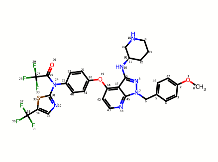 COc1ccc(Cn2nc(N[C@@H]3CCCNC3)c3c(Oc4ccc(N(C(=O)C(F)(F)F)c5ncc(C(F)(F)F)s5)cc4)ccnc32)cc1